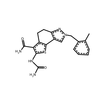 Cc1ccccc1Cn1cc2c(n1)CCc1c-2sc(NC(N)=O)c1C(N)=O